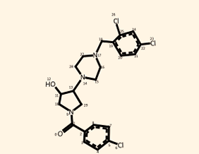 O=C(c1ccc(Cl)cc1)N1CC(O)C(N2CCN(Cc3ccc(Cl)cc3Cl)CC2)C1